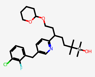 CC(C)(CCC(CCOC1CCCCO1)c1ccc(Cc2cccc(Cl)c2F)cn1)[Si](C)(C)O